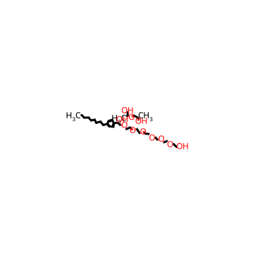 CC(O)COC(C)CO.CCCCCCCCCc1ccc(C(O)COCCOCCOCCOCCOCCOCCO)cc1